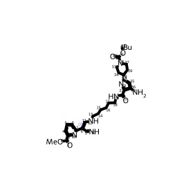 COC(=O)c1cccc(/C(C=N)=C/NCCCCCCNC(=O)c2nn(C3CCN(C(=O)OC(C)(C)C)CC3)cc2N)n1